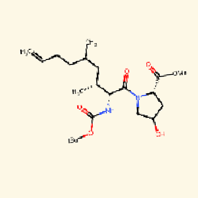 C=CCCC(C)C[C@@H](C)[C@@H](NC(=O)OC(C)(C)C)C(=O)N1C[C@H](O)C[C@H]1C(=O)OC